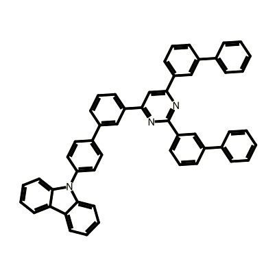 c1ccc(-c2cccc(-c3cc(-c4cccc(-c5ccc(-n6c7ccccc7c7ccccc76)cc5)c4)nc(-c4cccc(-c5ccccc5)c4)n3)c2)cc1